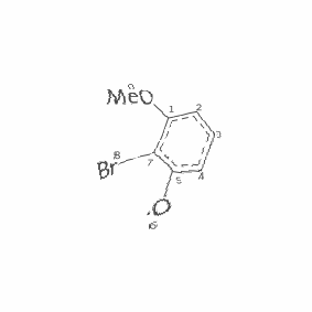 COc1cccc([O])c1Br